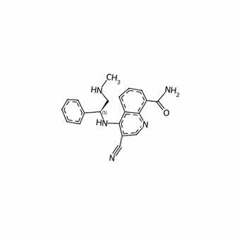 CNC[C@@H](Nc1c(C#N)cnc2c(C(N)=O)cccc12)c1ccccc1